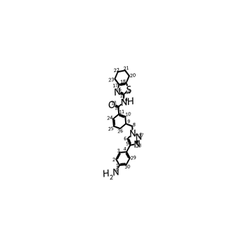 Nc1ccc(-c2cn(CC3C=C(C(=O)Nc4nc5c(s4)CCCC5)C=CC3)nn2)cc1